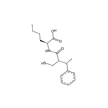 CCCC[C@H](NC(=O)C(CS)C(C)c1ccccc1)C(=O)O